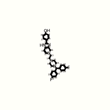 Oc1ccc(-c2nc3c([nH]2)C=CN(CCN2CCN(C(c4ccc(F)cc4)c4ccc(F)cc4)CC2)C3)cc1